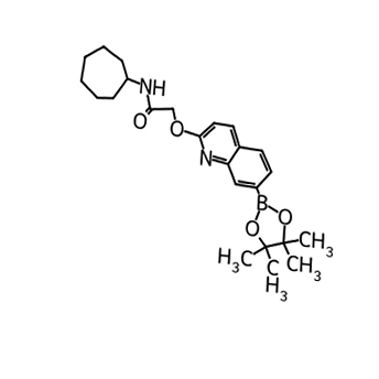 CC1(C)OB(c2ccc3ccc(OCC(=O)NC4CCCCCC4)nc3c2)OC1(C)C